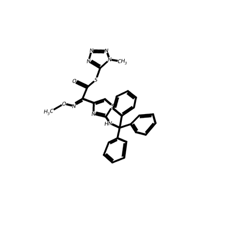 CON=C(C(=O)Sc1nnnn1C)c1csc(NC(c2ccccc2)(c2ccccc2)c2ccccc2)n1